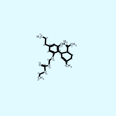 C=C(C)C1CCC(C)=CC1c1c(O)cc(CCC)cc1OCOC(=O)OCC